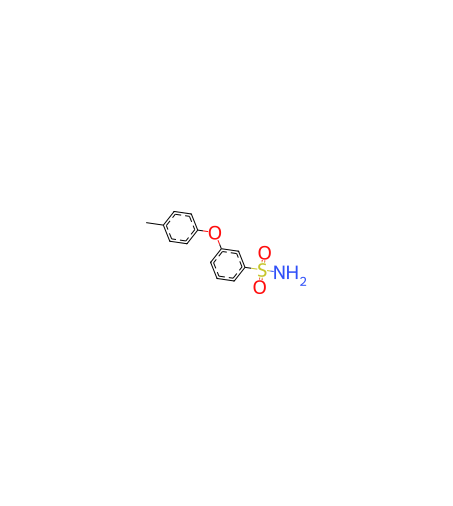 Cc1ccc(Oc2cccc(S(N)(=O)=O)c2)cc1